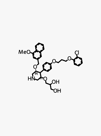 COc1cc(CO[C@H]2CNC[C@H](OCC(O)CO)C2c2ccc(OCCCOc3ccccc3Cl)cc2)cc2ccccc12